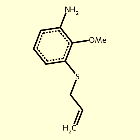 C=CCSc1cccc(N)c1OC